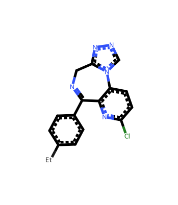 CCc1ccc(C2=NCc3nncn3-c3ccc(Cl)nc32)cc1